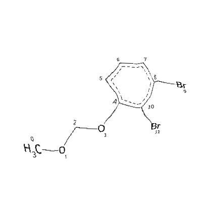 COCOc1cccc(Br)c1Br